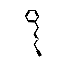 C#CCN=CCc1ccccc1